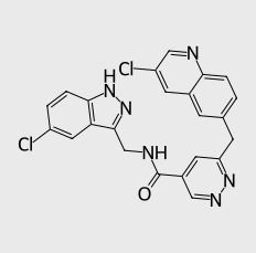 O=C(NCc1n[nH]c2ccc(Cl)cc12)c1cnnc(Cc2ccc3ncc(Cl)cc3c2)c1